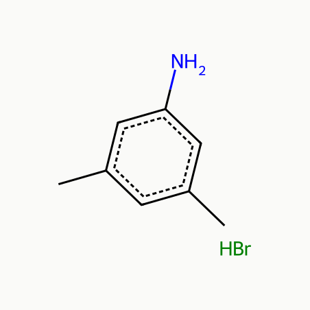 Br.Cc1cc(C)cc(N)c1